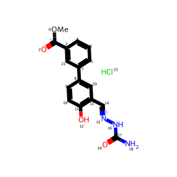 COC(=O)c1cccc(-c2ccc(O)c(/C=N/NC(N)=O)c2)c1.Cl